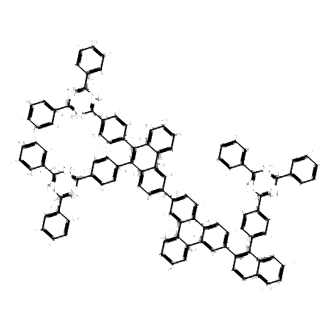 c1ccc(-c2nc(-c3ccccc3)nc(-c3ccc(-c4c(-c5ccc6c7ccc(-c8ccc9c(-c%10ccc(-c%11nc(-c%12ccccc%12)nc(-c%12ccccc%12)n%11)cc%10)c(-c%10ccc(-c%11nc(-c%12ccccc%12)nc(-c%12ccccc%12)n%11)cc%10)c%10ccccc%10c9c8)cc7c7ccccc7c6c5)ccc5ccccc45)cc3)n2)cc1